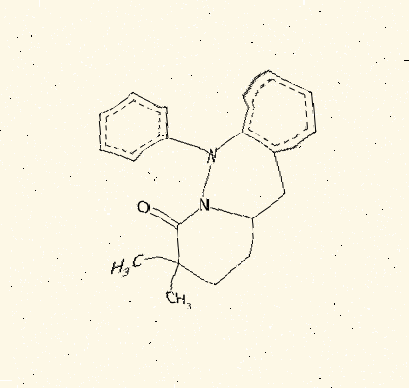 CC1(C)CCC2Cc3ccccc3N(c3ccccc3)N2C1=O